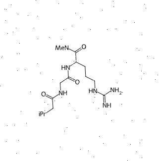 CNC(=O)C(CCCNC(=N)N)NC(=O)CNC(=O)CC(C)C